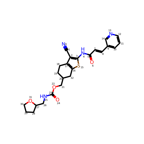 N#Cc1c(NC(=O)/C=C/c2cccnc2)sc2c1CCC(COC(=O)NCC1CCCO1)C2